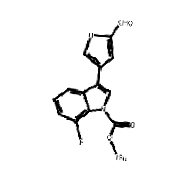 CC(C)(C)OC(=O)n1cc(-c2coc(C=O)c2)c2cccc(F)c21